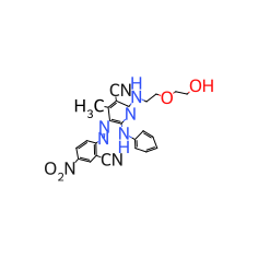 Cc1c(C#N)c(NCCOCCO)nc(Nc2ccccc2)c1/N=N/c1ccc([N+](=O)[O-])cc1C#N